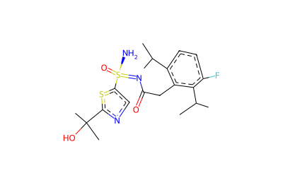 CC(C)c1ccc(F)c(C(C)C)c1CC(=O)N=[S@@](N)(=O)c1cnc(C(C)(C)O)s1